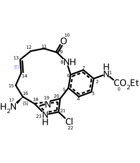 CCOC(=O)Nc1ccc2c(c1)NC(=O)CC/C=C/C[C@H](N)c1nc-2c(Cl)[nH]1